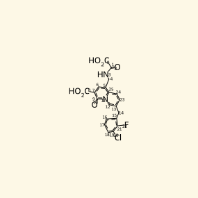 O=C(O)C(=O)NCc1cc(C(=O)O)c(=O)n2cc(Cc3cccc(Cl)c3F)ccc12